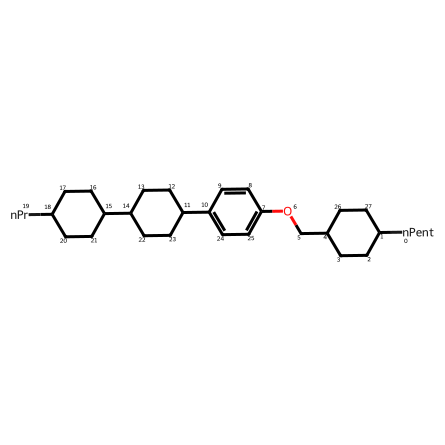 CCCCCC1CCC(COc2ccc(C3CCC(C4CCC(CCC)CC4)CC3)cc2)CC1